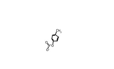 Cc1ccc(O[N+](=O)[O-])cc1